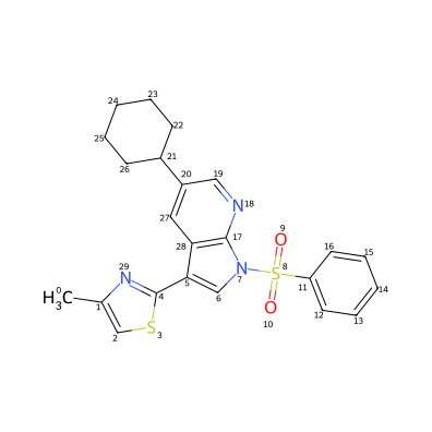 Cc1csc(-c2cn(S(=O)(=O)c3ccccc3)c3ncc(C4CCCCC4)cc23)n1